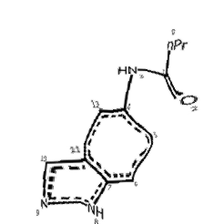 CCCC(=O)Nc1ccc2[nH]ncc2c1